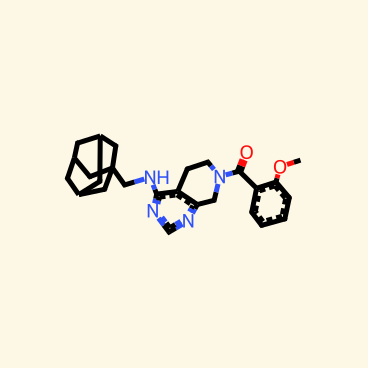 COc1ccccc1C(=O)N1CCc2c(ncnc2NCC23CC4CC(CC(C4)C2)C3)C1